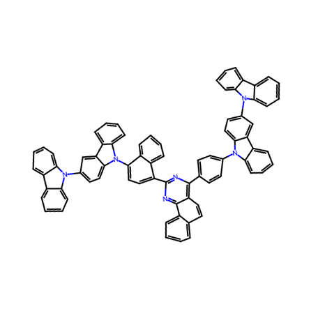 c1ccc2c(c1)ccc1c(-c3ccc(-n4c5ccccc5c5cc(-n6c7ccccc7c7ccccc76)ccc54)cc3)nc(-c3ccc(-n4c5ccccc5c5cc(-n6c7ccccc7c7ccccc76)ccc54)c4ccccc34)nc12